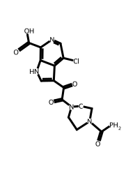 O=C(O)c1ncc(Cl)c2c(C(=O)C(=O)N3CCN(C(=O)P)CC3)c[nH]c12